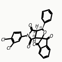 O=C1[C@H]2[C@@H](c3ccccc3)OC3(C(=O)c4ccccc4C3=O)[C@H]2C(=O)N1c1ccc(Cl)c(Cl)c1